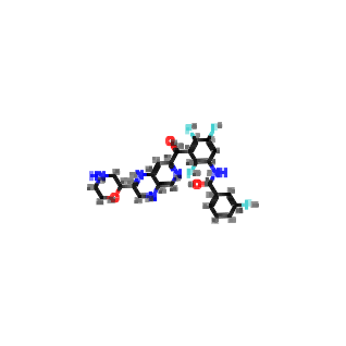 O=C(Nc1cc(F)c(F)c(C(=O)c2cc3nc(C4CNCCO4)cnc3cn2)c1F)c1cccc(F)c1